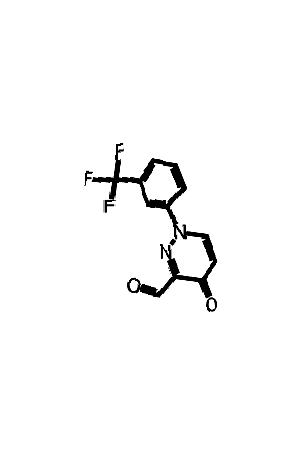 O=Cc1nn(-c2cccc(C(F)(F)F)c2)ccc1=O